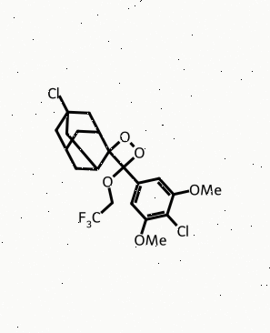 COc1cc(C2(OCC(F)(F)F)OOC23C2CC4CC3CC(Cl)(C4)C2)cc(OC)c1Cl